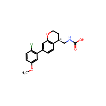 COc1ccc(Cl)c(-c2ccc3c(c2)OCC[C@H]3CNC(=O)O)c1